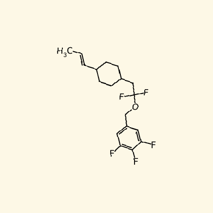 CC=CC1CCC(CC(F)(F)OCc2cc(F)c(F)c(F)c2)CC1